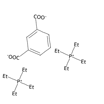 CC[P+](CC)(CC)CC.CC[P+](CC)(CC)CC.O=C([O-])c1cccc(C(=O)[O-])c1